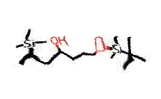 C=C(CC(O)CCCO[Si](C)(C)C(C)(C)C)[Si](C)(C)C